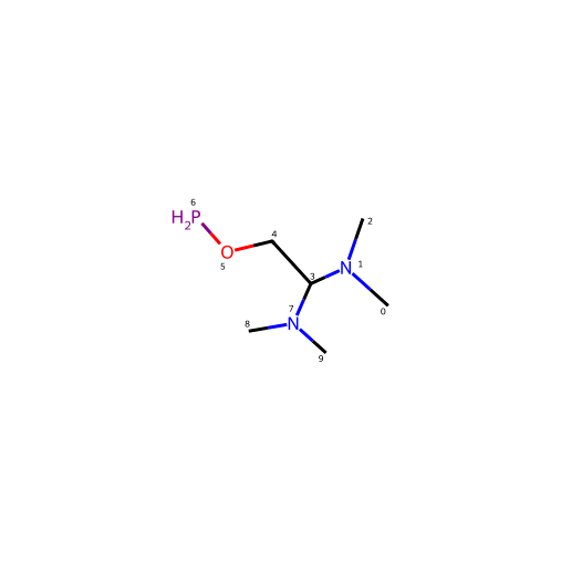 CN(C)C(COP)N(C)C